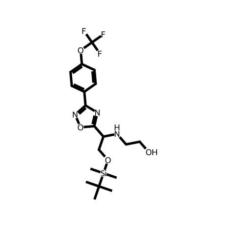 CC(C)(C)[Si](C)(C)OCC(NCCO)c1nc(-c2ccc(OC(F)(F)F)cc2)no1